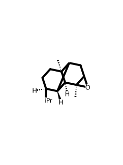 CC(C)[C@H]1CC[C@@]2(C)C3CC4O[C@@]4(C)[C@H]2[C@@H]31